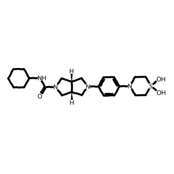 O=C(NC1CCCCC1)N1C[C@@H]2CN(c3ccc(N4CCS(O)(O)CC4)cc3)C[C@@H]2C1